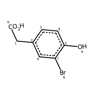 O=C(O)Cc1c[c]c(O)c(Br)c1